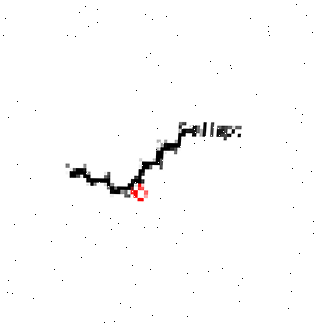 C=CCCCC1OC1CC=CCCCCCCCCC